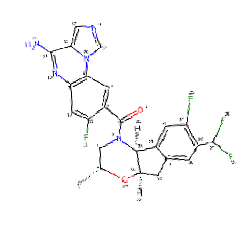 C[C@@H]1CN(C(=O)c2cc3c(cc2F)nc(N)c2cncn23)[C@H]2c3cc(F)c(C(F)F)cc3C[C@H]2O1